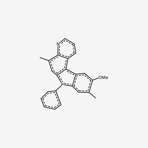 COc1cc2c3c4cccnc4c(C)cc3p(-c3ccccc3)c2cc1C